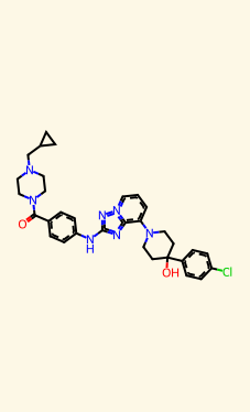 O=C(c1ccc(Nc2nc3c(N4CCC(O)(c5ccc(Cl)cc5)CC4)cccn3n2)cc1)N1CCN(CC2CC2)CC1